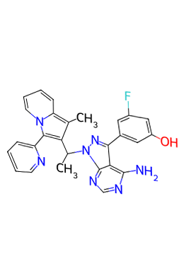 Cc1c(C(C)n2nc(-c3cc(O)cc(F)c3)c3c(N)ncnc32)c(-c2ccccn2)n2ccccc12